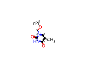 CCCOCn1cc(C)c(=O)[nH]c1=O